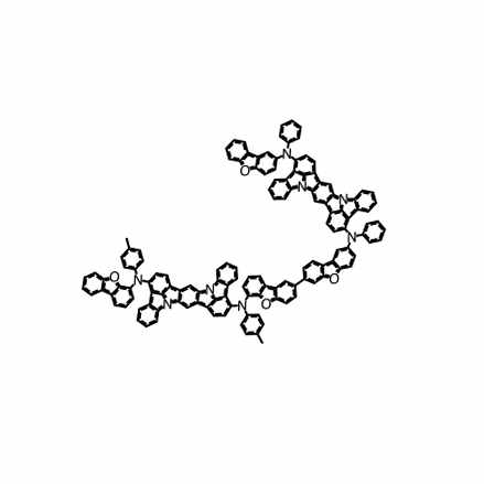 Cc1ccc(N(c2cccc3c2oc2ccccc23)c2ccc3c4cc5c(cc4n4c6ccccc6c2c34)c2ccc(N(c3ccc(C)cc3)c3cccc4c3oc3ccc(-c6ccc7c(c6)oc6ccc(N(c8ccccc8)c8ccc9c%10cc%11c(cc%10n%10c%12ccccc%12c8c9%10)c8ccc(N(c9ccccc9)c9ccc%10oc%12ccccc%12c%10c9)c9c%10ccccc%10n%11c89)cc67)cc34)c3c4ccccc4n5c23)cc1